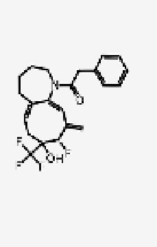 C=C1/C=C2\C(=C/CC(O)(C(F)(F)F)[C@@H]1F)CCCCN2C(=O)Cc1ccccc1